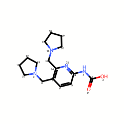 O=C(O)Nc1ccc(CN2CCCC2)c(CN2CCCC2)n1